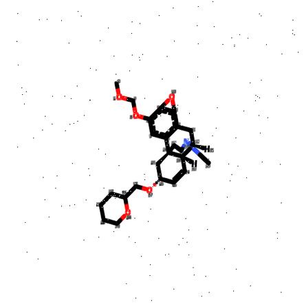 COCOc1cc2c(c3c1O3)C[C@@H]1[C@@H]3C=C[C@H](OCC4CCCCO4)C[C@]23CCN1C